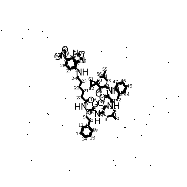 CC(C)C[C@H](NC(=O)[C@H](CCc1ccccc1)NC(=O)CCCCCNc1ccc([N+](=O)[O-])c2nonc12)C(=O)N[C@@H](Cc1ccccc1)C(=O)N[C@@H](CC(C)C)C(=O)C1(C)CC1